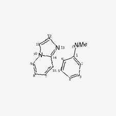 CNc1ccccc1.c1ccn2ccnc2c1